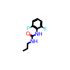 CCCNC(=O)Nc1c(F)cccc1F